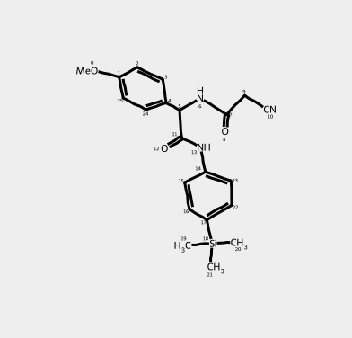 COc1ccc(C(NC(=O)CC#N)C(=O)Nc2ccc([Si](C)(C)C)cc2)cc1